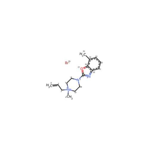 C=CC[N+]1(C)CCN(c2nc3cccc(C)c3o2)CC1.[Br-]